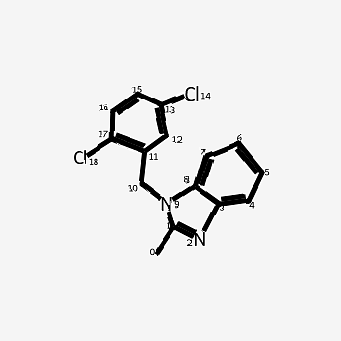 Cc1nc2cc[c]cc2n1Cc1cc(Cl)ccc1Cl